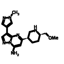 COC[C@@H]1CC[C@H](c2cc(N)n3ncc(-c4cnn(C)c4)c3n2)CN1